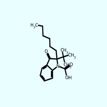 CCCCCCC1(C(C)(C)C)C(=O)c2ccccc2N1C(=O)O